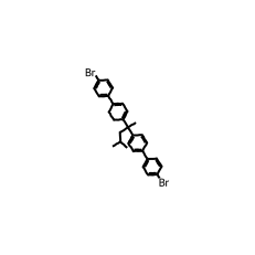 CC(C)CC(C)(C1=CC=C(c2ccc(Br)cc2)CC1)c1ccc(-c2ccc(Br)cc2)cc1